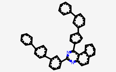 c1ccc(-c2ccc(-c3cccc(-c4nc(-c5ccc(-c6cccc(-c7ccccc7)c6)cc5)c5c(ccc6ccccc65)n4)c3)cc2)cc1